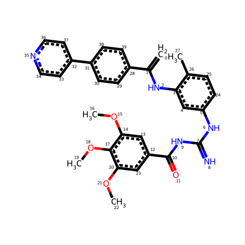 C=C(Nc1cc(NC(=N)NC(=O)c2cc(OC)c(OC)c(OC)c2)ccc1C)c1ccc(-c2ccncc2)cc1